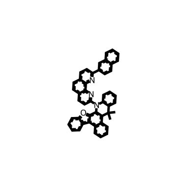 CC1(C)c2ccccc2N(c2ccc3ccc4ccc(-c5ccc6ccccc6c5)nc4c3n2)c2c1c1ccccc1c1c2oc2ccccc21